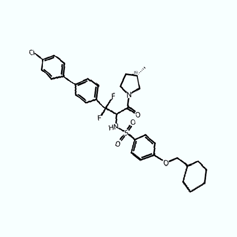 C[C@H]1CCN(C(=O)C(NS(=O)(=O)c2ccc(OCC3CCCCC3)cc2)C(F)(F)c2ccc(-c3ccc(Cl)cc3)cc2)C1